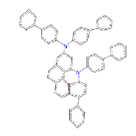 c1ccc(-c2ccc(N(c3ccc(-c4ccccc4)cc3)c3cc(N(c4ccc(-c5ccccc5)cc4)c4ccc(-c5ccccc5)cc4)c4c(ccc5ccccc54)c3)cc2)cc1